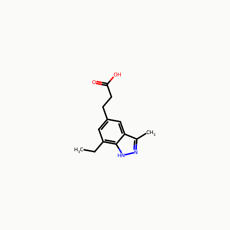 CCc1cc(CCC(=O)O)cc2c(C)n[nH]c12